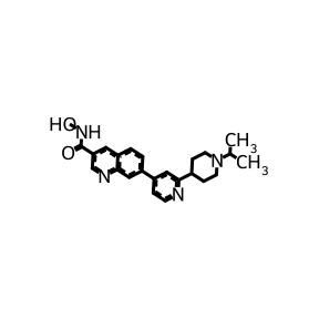 CC(C)N1CCC(c2cc(-c3ccc4cc(C(=O)NO)cnc4c3)ccn2)CC1